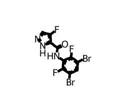 O=C(Nc1c(F)c(Br)cc(Br)c1F)c1[nH]ncc1F